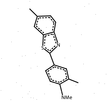 CNc1ccc(-c2nc3ccc(C)cc3s2)cc1C